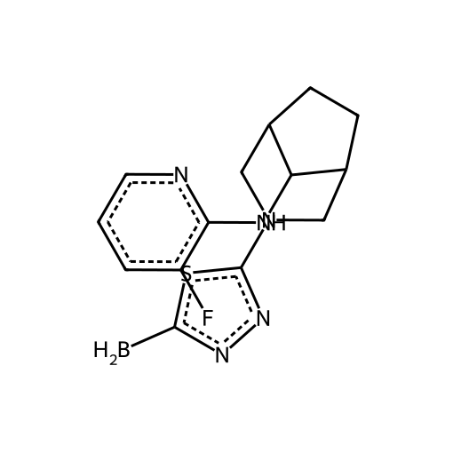 Bc1nnc(N2CC3CCC(C2)C3Nc2ncccc2F)s1